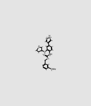 COc1cccc(COC(=O)Nc2ccc(-c3cn[nH]c3)cc2OC2CCOC2)c1